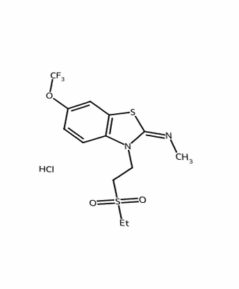 CCS(=O)(=O)CCn1c(=NC)sc2cc(OC(F)(F)F)ccc21.Cl